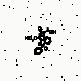 CC(O)[C@@H]1C(=O)N2C(C(=O)O)=C(OP(=O)(c3ccccc3)c3ccccc3)CC12